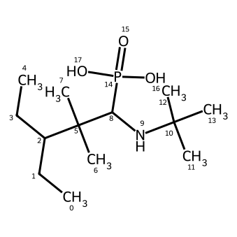 CCC(CC)C(C)(C)C(NC(C)(C)C)P(=O)(O)O